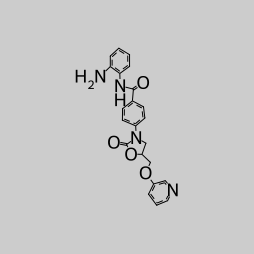 Nc1ccccc1NC(=O)c1ccc(N2CC(COc3cccnc3)OC2=O)cc1